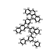 c1ccc(-c2cc(-c3ccccc3)cc(-c3nc(-n4c5cc(-n6c7ccccc7c7ccc8ccccc8c76)ccc5c5cc6ccccc6cc54)nc4ccccc34)c2)cc1